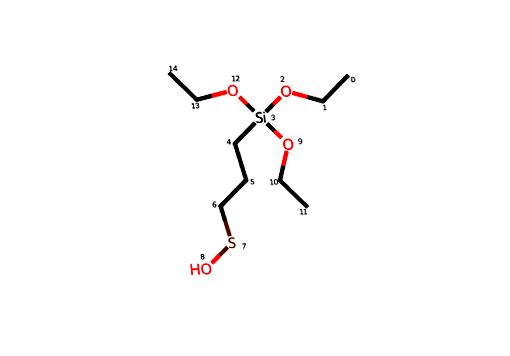 CCO[Si](CCCSO)(OCC)OCC